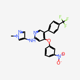 Cn1cc(Nc2cc(Oc3cccc([N+](=O)[O-])c3)c(-c3ccc(C(F)(F)F)cc3)cn2)cn1